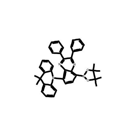 CC1(C)c2ccccc2N(c2ccc(B3OC(C)(C)C(C)(C)O3)c3nc(-c4ccccc4)c(-c4ccccc4)nc23)c2ccccc21